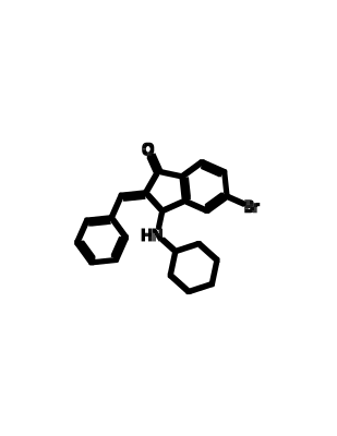 O=C1/C(=C/c2ccccc2)C(NC2CCCCC2)c2cc(Br)ccc21